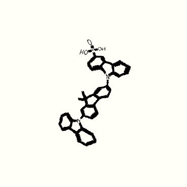 CC1(C)c2cc(-n3c4ccccc4c4ccccc43)ccc2-c2ccc(-n3c4ccccc4c4cc(P(=O)(O)O)ccc43)cc21